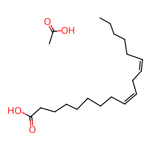 CC(=O)O.CCCCC/C=C\C/C=C\CCCCCCCC(=O)O